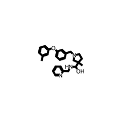 Cc1cccc(Oc2cccc(CN3CCC(C)(C(O)NCc4ccccn4)C3)c2)c1